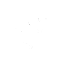 CC(=O)N1CCN=C1Nc1c(C)nn(C)c1Cl.Cl